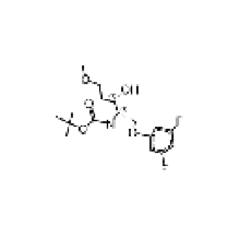 COCC[C@H](O)[C@H](COc1cc(F)cc(F)c1)NC(=O)OC(C)(C)C